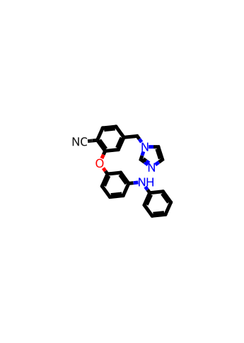 N#Cc1ccc(Cn2ccnc2)cc1Oc1cccc(Nc2ccccc2)c1